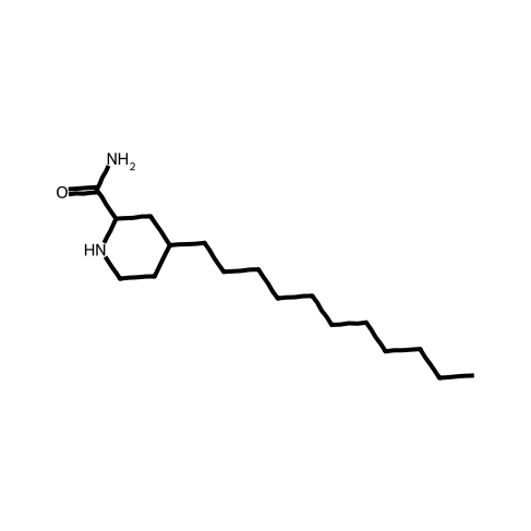 CCCCCCCCCCCC1CCNC(C(N)=O)C1